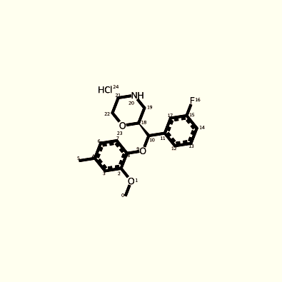 COc1cc(C)ccc1OC(c1cccc(F)c1)[C@@H]1CNCCO1.Cl